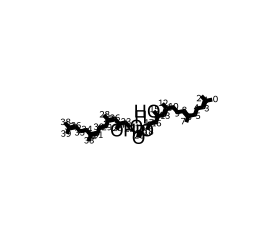 CC(C)=CCCC(C)=CCCC(C)=CC(O)CCO[PH](=O)OCCC(O)C=C(C)CCC=C(C)CCC=C(C)C